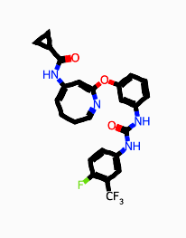 O=C(Nc1cccc(OC2=C/C(NC(=O)C3CC3)=C\CC/C=N\2)c1)Nc1ccc(F)c(C(F)(F)F)c1